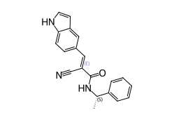 C[C@H](NC(=O)/C(C#N)=C/c1ccc2[nH]ccc2c1)c1ccccc1